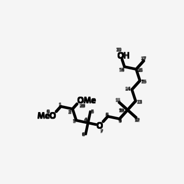 COCC(CC(C)(C)OCCC(C)(C)CCCC(C)CO)OC